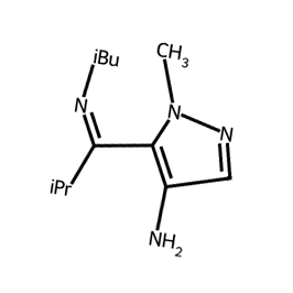 CCC(C)/N=C(\c1c(N)cnn1C)C(C)C